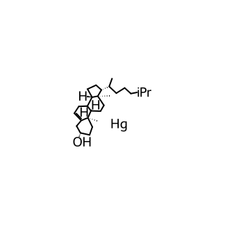 CC(C)CCCC(C)[C@H]1CC[C@H]2[C@@H]3CC=C4C[C@@H](O)CC[C@]4(C)[C@H]3CC[C@]12C.[Hg]